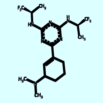 C[C@@H](Nc1nc(N[C@H](C)C(F)(F)F)nc(C2=CC(N(C)C)CCC2)n1)C(F)(F)F